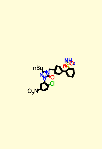 CCCCc1nn(-c2cc([N+](=O)[O-])ccc2Cl)c(=O)n1Cc1ccc(-c2ccccc2S(N)(=O)=O)cc1